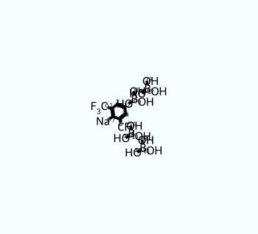 FC(F)(F)c1cccc(C(F)(F)F)[c]1[Na].OB(O)O.OB(O)O.OB(O)O.OB(O)O